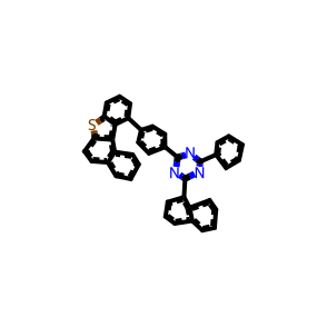 c1ccc(-c2nc(-c3ccc(-c4cccc5sc6ccc7ccccc7c6c45)cc3)nc(-c3cccc4ccccc34)n2)cc1